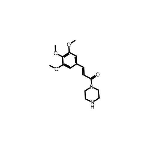 COc1cc(C=CC(=O)N2CCNCC2)cc(OC)c1OC